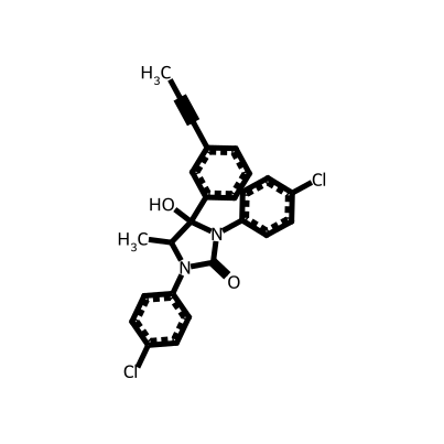 CC#Cc1cccc(C2(O)C(C)N(c3ccc(Cl)cc3)C(=O)N2c2ccc(Cl)cc2)c1